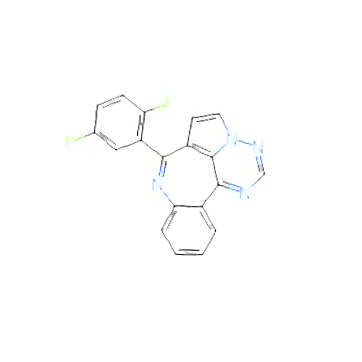 Fc1ccc(F)c(C2=Nc3ccccc3-c3ncnn4ccc2c34)c1